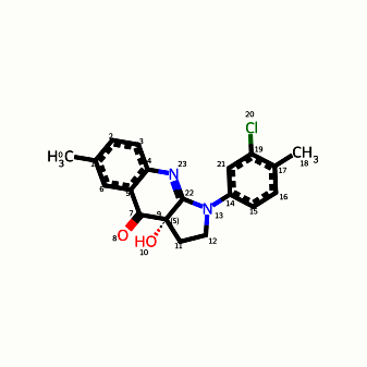 Cc1ccc2c(c1)C(=O)[C@]1(O)CCN(c3ccc(C)c(Cl)c3)C1=N2